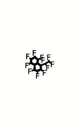 Fc1c(F)c(F)c2c(C(F)(F)C(F)F)c(F)c(F)c(F)c2c1F